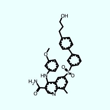 COc1cccc(Nc2c(C(N)=O)cnc3c(C)cc(S(=O)(=O)c4cccc(-c5ccc(CCCO)cc5)c4)cc23)c1